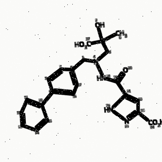 CC(O)(CN(Cc1ccc(-c2ccccc2)cc1)NC(=O)c1cc(C(=O)O)n[nH]1)C(=O)O